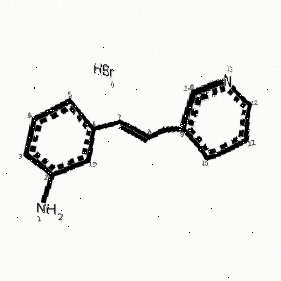 Br.Nc1cccc(/C=C/c2cccnc2)c1